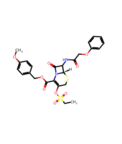 CCS(=O)(=O)OC1=C(C(=O)OCc2ccc(OC)cc2)N2C(=O)C(NC(=O)COc3ccccc3)[C@@H]2SC1